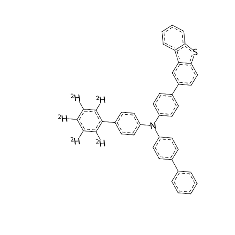 [2H]c1c([2H])c([2H])c(-c2ccc(N(c3ccc(-c4ccccc4)cc3)c3ccc(-c4ccc5sc6ccccc6c5c4)cc3)cc2)c([2H])c1[2H]